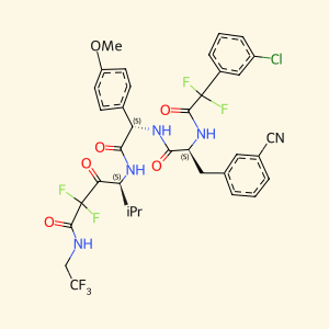 COc1ccc([C@H](NC(=O)[C@H](Cc2cccc(C#N)c2)NC(=O)C(F)(F)c2cccc(Cl)c2)C(=O)N[C@H](C(=O)C(F)(F)C(=O)NCC(F)(F)F)C(C)C)cc1